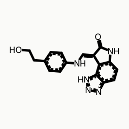 O=C1Nc2ccc3nn[nH]c3c2/C1=C\Nc1ccc(CCO)cc1